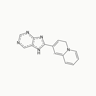 [C]1=C2C=CC=CN2CC=C1c1nc2ncncc2[nH]1